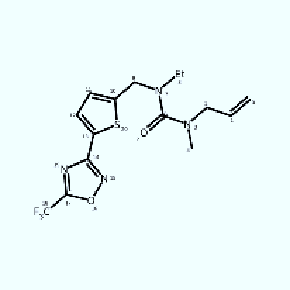 C=CCN(C)C(=O)N(CC)Cc1ccc(-c2noc(C(F)(F)F)n2)s1